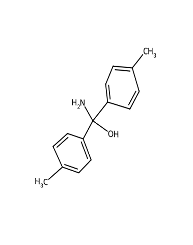 Cc1ccc(C(N)(O)c2ccc(C)cc2)cc1